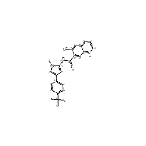 Cn1nc(-c2ccc(C(C)(C)C)cc2)cc1NC(=O)c1cc2ncccc2cc1Cl